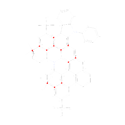 CC(C)(C)c1cc(-c2ccccc2N(c2ccccc2-c2ccc3c(c2)c2ccccc2n3-c2ccccc2)c2ccccc2-c2cccc3cccc(-c4cc(C(C)(C)C)cc(C(C)(C)C)c4)c23)cc(C(C)(C)C)c1